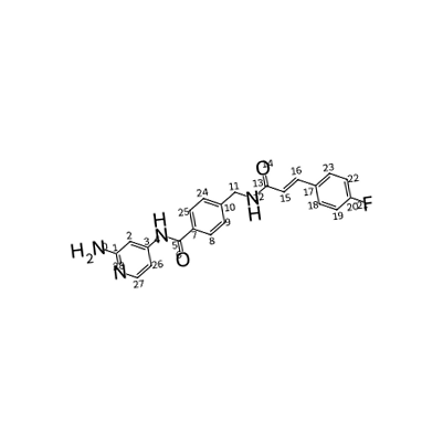 Nc1cc(NC(=O)c2ccc(CNC(=O)/C=C/c3ccc(F)cc3)cc2)ccn1